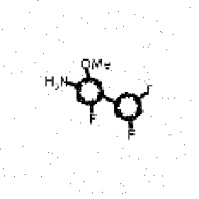 COc1cc(-c2cc(F)cc(F)c2)c(F)cc1N